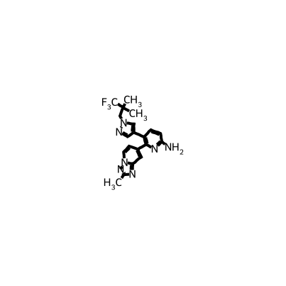 Cc1nc2cc(-c3nc(N)ccc3-c3cnn(CC(C)(C)C(F)(F)F)c3)ccn2n1